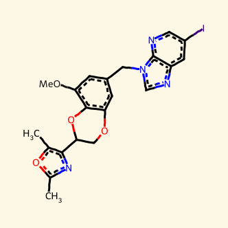 COc1cc(Cn2cnc3cc(I)cnc32)cc2c1OC(c1nc(C)oc1C)CO2